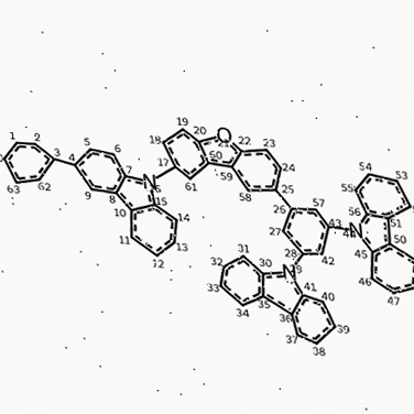 c1ccc(-c2ccc3c(c2)c2ccccc2n3-c2ccc3oc4ccc(-c5cc(-n6c7ccccc7c7ccccc76)cc(-n6c7ccccc7c7ccccc76)c5)cc4c3c2)cc1